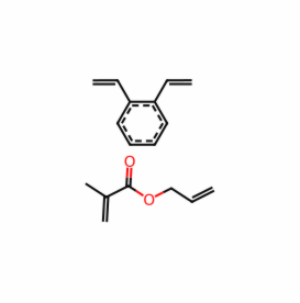 C=CCOC(=O)C(=C)C.C=Cc1ccccc1C=C